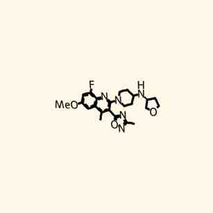 COc1cc(F)c2nc(N3CCC(N[C@H]4CCOC4)CC3)c(-c3nc(C)no3)c(C)c2c1